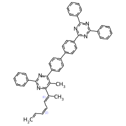 C=C/C=C\C=C(/C)c1nc(-c2ccccc2)nc(-c2ccc(-c3ccc(-c4nc(-c5ccccc5)nc(-c5ccccc5)n4)cc3)cc2)c1C